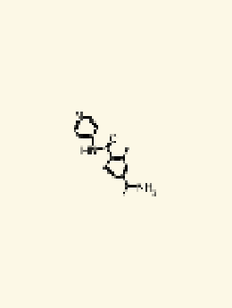 Cc1cc(C(C)N)ccc1C(=O)Nc1ccncc1